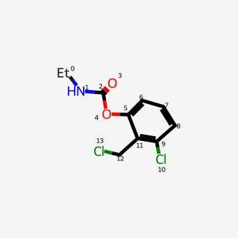 CCNC(=O)Oc1cccc(Cl)c1CCl